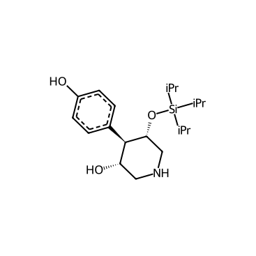 CC(C)[Si](O[C@@H]1CNC[C@H](O)[C@H]1c1ccc(O)cc1)(C(C)C)C(C)C